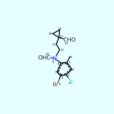 Cc1cc(F)c(Br)cc1N(C=O)CCC1(C=O)CC1